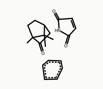 CC12CCC(CC1=O)C2(C)C.O=C1C=CC(=O)N1.c1ccccc1